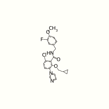 COc1ccc(CNC(=O)c2c(Cl)ccc(-n3ccnc3)c2OCC2CC2)cc1F